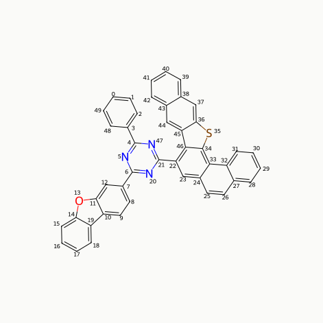 c1ccc(-c2nc(-c3ccc4c(c3)oc3ccccc34)nc(-c3cc4ccc5ccccc5c4c4sc5cc6ccccc6cc5c34)n2)cc1